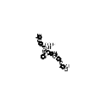 Cc1nccc(Oc2ccc(CC(NC(=O)[C@@H]3Cc4cc5c(cc4CN3C(=O)c3ccccn3)O[C@@H](c3ccc(OCc4ccc(Cl)c(Cl)c4)cc3)CO5)C(=O)O)cc2)c1C